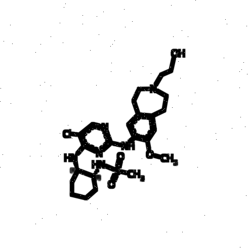 COc1cc2c(cc1Nc1ncc(Cl)c(N[C@@H]3CCCC[C@H]3NS(C)(=O)=O)n1)CCN(CCO)CC2